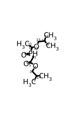 CC(C)COC(=O)C[PH](=O)C(C)OCC(C)C